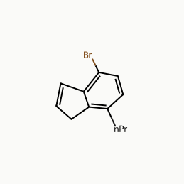 CCCc1ccc(Br)c2c1CC=C2